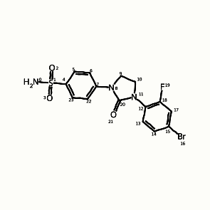 NS(=O)(=O)c1ccc(N2CCN(c3ccc(Br)cc3F)C2=O)cc1